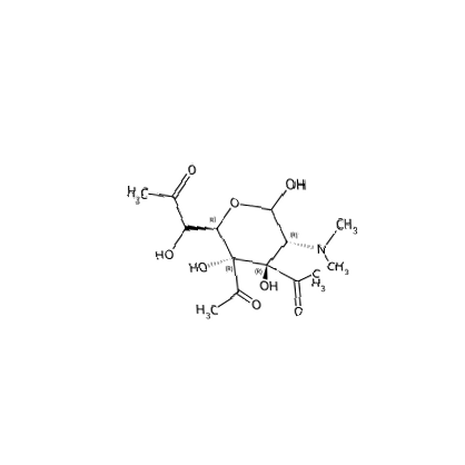 CC(=O)C(O)[C@H]1OC(O)[C@H](N(C)C)[C@](O)(C(C)=O)[C@@]1(O)C(C)=O